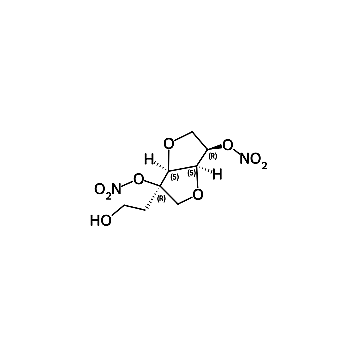 O=[N+]([O-])O[C@@H]1CO[C@H]2[C@@H]1OC[C@@]2(CCO)O[N+](=O)[O-]